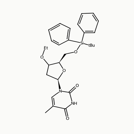 CCOC1C[C@H](n2cc(C)c(=O)[nH]c2=O)O[C@@H]1CO[Si](c1ccccc1)(c1ccccc1)C(C)(C)C